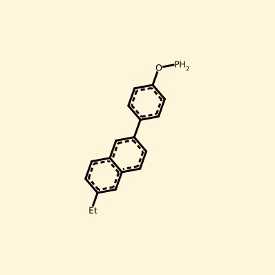 CCc1ccc2cc(-c3ccc(OP)cc3)ccc2c1